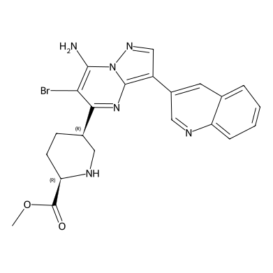 COC(=O)[C@H]1CC[C@@H](c2nc3c(-c4cnc5ccccc5c4)cnn3c(N)c2Br)CN1